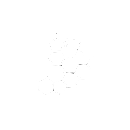 CC(=O)[C@@H](OC(C)(C)C)c1c(C)nc2sc3c(c2c1-c1ccc2cnn(C)c2c1)CCCC3